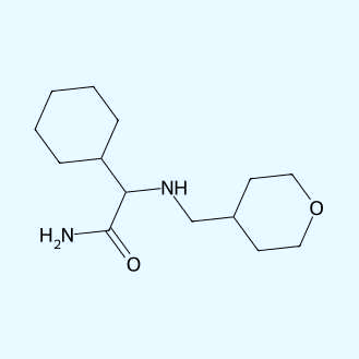 NC(=O)C(NCC1CCOCC1)C1CCCCC1